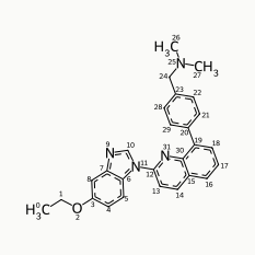 CCOc1ccc2c(c1)ncn2-c1ccc2cccc(-c3ccc(CN(C)C)cc3)c2n1